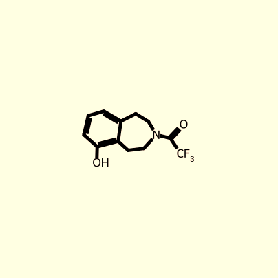 O=C(N1CCc2cccc(O)c2CC1)C(F)(F)F